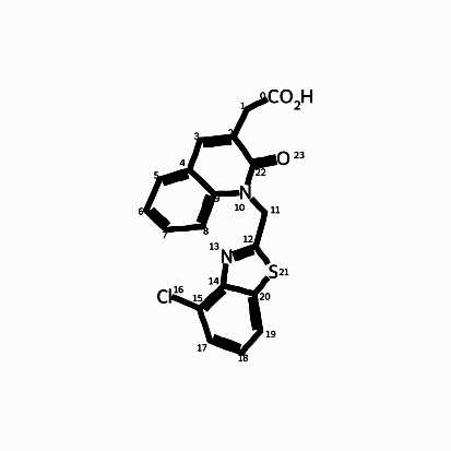 O=C(O)Cc1cc2ccccc2n(Cc2nc3c(Cl)cccc3s2)c1=O